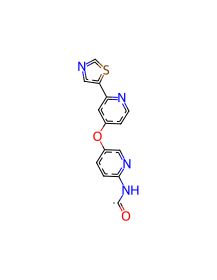 O=[C]Nc1ccc(Oc2ccnc(-c3cncs3)c2)cn1